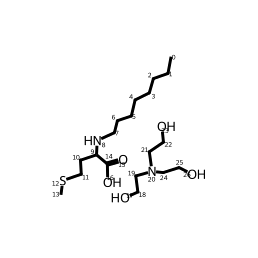 CCCCCCCCNC(CCSC)C(=O)O.OCCN(CCO)CCO